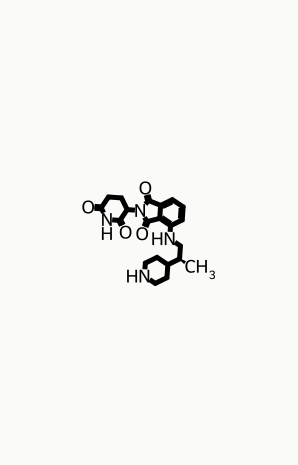 C[C@H](CNc1cccc2c1C(=O)N(C1CCC(=O)NC1=O)C2=O)C1CCNCC1